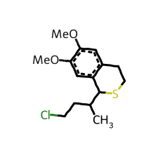 COc1cc2c(cc1OC)C(C(C)CCCl)SCC2